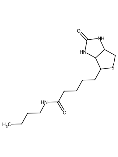 CCCCNC(=O)CCCCC1SCC2NC(=O)NC21